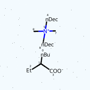 CCCCC(CC)C(=O)[O-].CCCCCCCCCC[N+](C)(C)CCCCCCCCCC